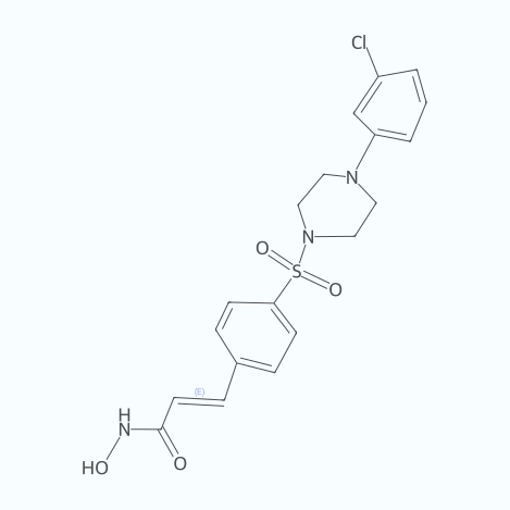 O=C(/C=C/c1ccc(S(=O)(=O)N2CCN(c3cccc(Cl)c3)CC2)cc1)NO